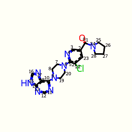 O=C(c1cnc(N2CCN(c3ncnc4[nH]cnc34)CC2)c(Cl)c1)N1CCCC1